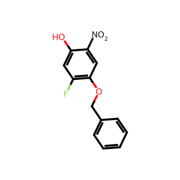 O=[N+]([O-])c1cc(OCc2ccccc2)c(F)cc1O